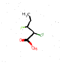 CCC(F)C(Cl)C(=O)O